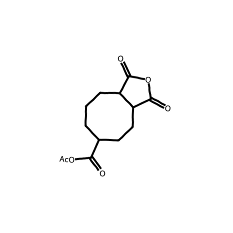 CC(=O)OC(=O)C1CCCC2C(=O)OC(=O)C2CC1